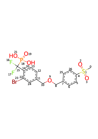 CS(=O)(=O)c1ccc(COCc2ccc(C(F)(F)P(=O)(O)O)c(Br)c2)cc1